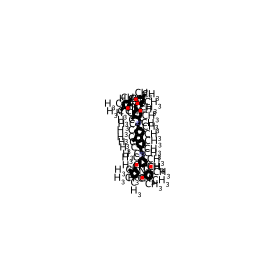 C/C(=C(/C)c1c(C)c(C)c2c(c1C)C(C)(C)c1c(C)c(/C(C)=C(\C)c3c(C)c(C)c(N(c4c(C)c(C)c(C)c(C)c4C)c4c(C)c(C)c(C)c(C)c4C)c(C)c3C)c(C)c(C)c1-2)c1c(C)c(C)c(N(c2c(C)c(C)c(C)c(C)c2C)c2c(C)c(C)c(C)c(C)c2C)c(C)c1C